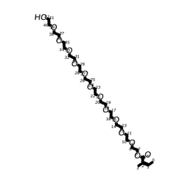 CC=C(C)C(=O)OCCOCCOCCOCCOCCOCCOCCOCCOCCOCCOCCOCCO